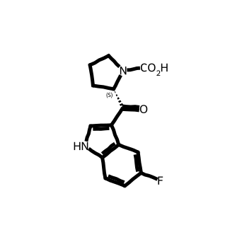 O=C(c1c[nH]c2ccc(F)cc12)[C@@H]1CCCN1C(=O)O